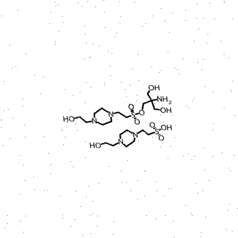 NC(CO)(CO)COS(=O)(=O)CCN1CCN(CCO)CC1.O=S(=O)(O)CCN1CCN(CCO)CC1